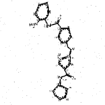 Nc1ccccc1NC(=O)c1ccc(Cn2cc(C(=O)Nc3ccccc3)cn2)cc1